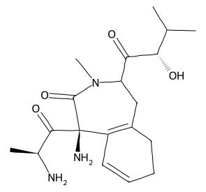 CC(C)[C@H](O)C(=O)C1CC2=C(C=CCC2)[C@](N)(C(=O)[C@H](C)N)C(=O)N1C